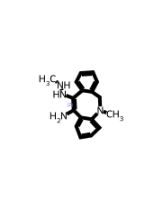 CNN/C1=C(\N)c2ccccc2N(C)Cc2ccccc21